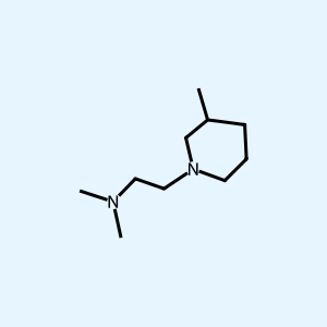 CC1CCCN(CCN(C)C)C1